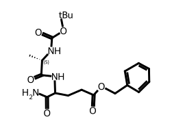 C[C@H](NC(=O)OC(C)(C)C)C(=O)NC(CCC(=O)OCc1ccccc1)C(N)=O